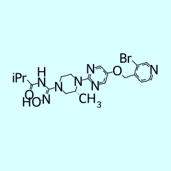 CC(C)C(=O)NC(=NO)N1CCN(c2ncc(OCc3ccncc3Br)cn2)[C@H](C)C1